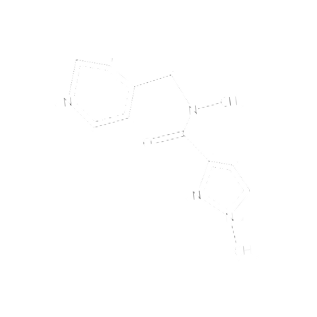 CN(Cc1ccncc1)C(=O)c1ccn(C)n1